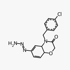 NN=NC1=CC2C(C=C1)OCC(=O)N2Cc1ccc(Cl)cc1